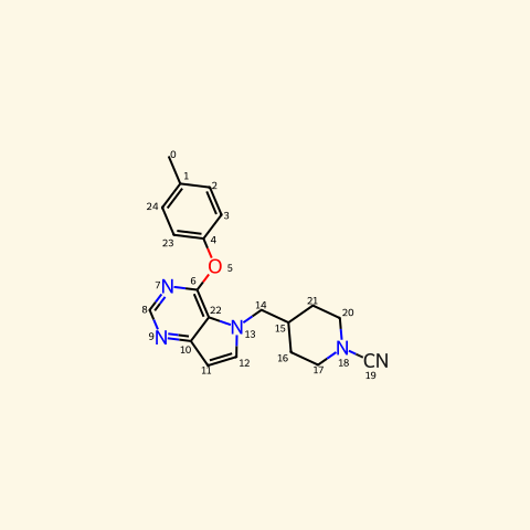 Cc1ccc(Oc2ncnc3ccn(CC4CCN(C#N)CC4)c23)cc1